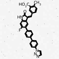 Cc1ccc(C=C2C(=O)Nc3cc(F)c(-c4ccc(-c5ccc(-n6ccnn6)cc5)cc4)cc32)cc1C(=O)O